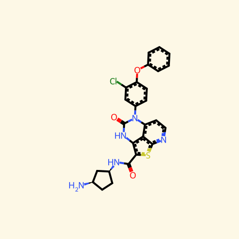 N[C@@H]1CC[C@H](NC(=O)c2sc3nccc4c3c2NC(=O)N4c2ccc(Oc3ccccc3)c(Cl)c2)C1